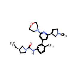 Cc1ccc(NC(=O)N2CC[C@@H](CC(F)(F)F)C2)cc1-c1cc(C2=CCN(C)C2)nc(N2CCOCC2)c1